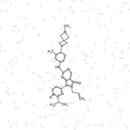 C=CCn1c(=O)c2cnc(Nc3ccc(N4CC5(CN(C)C5)C4)c(C)c3)nc2n1-c1ccc(=O)n(C(C)C)n1